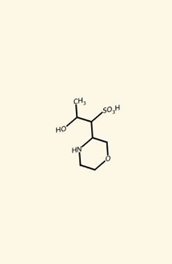 CC(O)C(C1COCCN1)S(=O)(=O)O